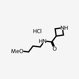 COCCCNC(=O)C1CNC1.Cl